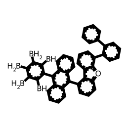 Bc1c(B)c(B)c(-c2c3ccccc3c(-c3cccc4oc5c(-c6ccccc6-c6ccccc6)cccc5c34)c3ccccc23)c(B)c1B